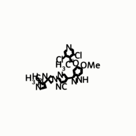 COc1cc2[nH]nc(-c3cnc(N4CC(N)(c5ccnn5C)C4)c(C#N)c3)c2cc1O[C@H](C)c1c(Cl)cncc1Cl